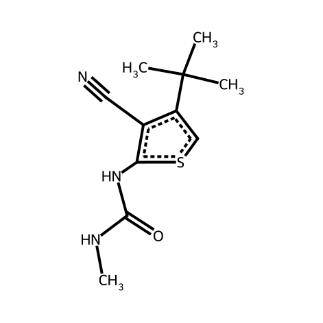 CNC(=O)Nc1scc(C(C)(C)C)c1C#N